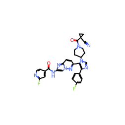 N#CC1(C(=O)N2CCC(n3cnc(-c4ccc(F)cc4)c3-c3ccc4nc(NC(=O)c5ccnc(F)c5)cn4n3)CC2)CC1